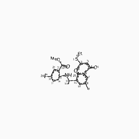 CCSc1cc(=O)c2cc(C)cc(C(C)Nc3ccc(F)cc3C(=O)OC)c2o1